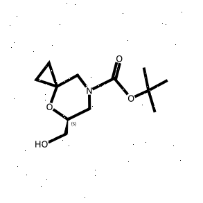 CC(C)(C)OC(=O)N1C[C@@H](CO)OC2(CC2)C1